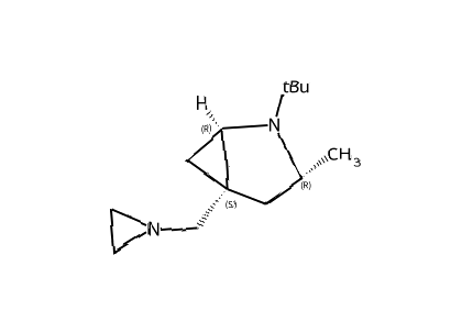 C[C@@H]1C[C@@]2(CN3CC3)C[C@H]2N1C(C)(C)C